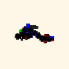 COc1cc(N2CCN(C3CCN(c4ccc5c(c4)C(=O)N(C4CCC(=O)NC4=O)C5=O)CC3)CC2)c(-c2cnn(C)c2)cc1Nc1ncc(Cl)c(Nc2ccc(-c3ccccc3)cc2P(C)(C)=O)n1